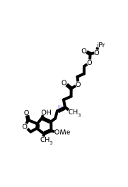 [CH2]C([CH2])OC(=O)OCCCOC(=O)CC/C(C)=C/Cc1c(O)c2c(c(C)c1OC)COC2=O